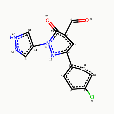 O=Cc1cc(-c2ccc(Cl)cc2)nn(-c2cn[nH]c2)c1=O